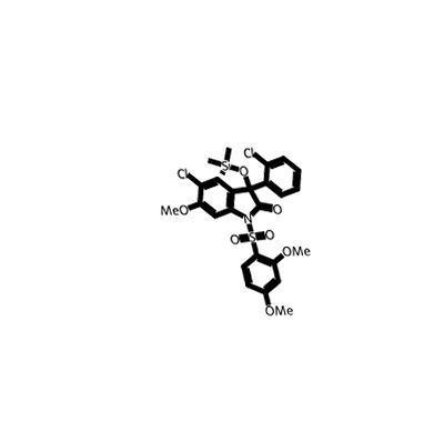 COc1ccc(S(=O)(=O)N2C(=O)C(O[Si](C)(C)C)(c3ccccc3Cl)c3cc(Cl)c(OC)cc32)c(OC)c1